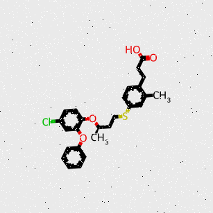 Cc1cc(SCC[C@@H](C)Oc2ccc(Cl)cc2Oc2ccccc2)ccc1CCC(=O)O